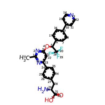 Cc1nc(OC(c2ccc(-c3ccncc3)cc2)C(F)(F)F)cc(-c2ccc(C[C@H](N)C(=O)O)cc2)n1